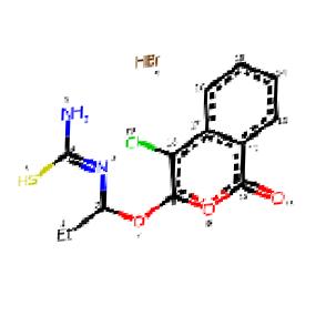 Br.CCC(N=C(N)S)Oc1oc(=O)c2ccccc2c1Cl